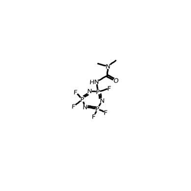 CN(C)C(=O)NP1(F)=NP(F)(F)=NP(F)(F)=N1